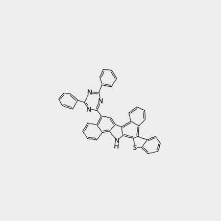 c1ccc(-c2nc(-c3ccccc3)nc(-c3cc4c([nH]c5c6sc7ccccc7c6c6ccccc6c45)c4ccccc34)n2)cc1